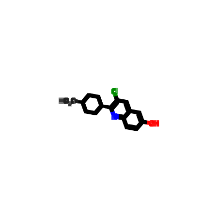 O=C(O)[C@H]1CC[C@@H](c2nc3ccc(O)cc3cc2Cl)CC1